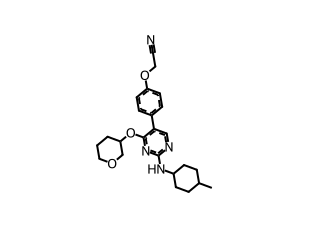 CC1CCC(Nc2ncc(-c3ccc(OCC#N)cc3)c(OC3CCCOC3)n2)CC1